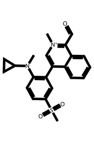 CN(c1ccc(S(C)(=O)=O)cc1-c1c[n+](C)c(C=O)c2ccccc12)C1CC1